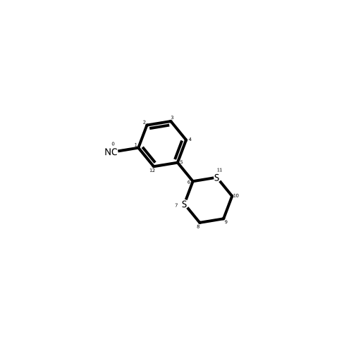 N#Cc1cccc(C2SCCCS2)c1